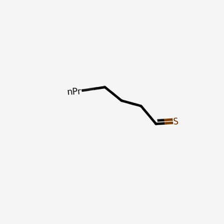 [CH2]CCCCCC=S